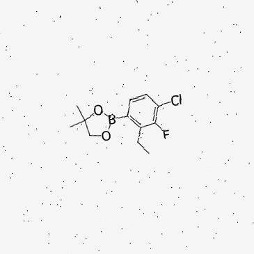 CCc1c(B2OCC(C)(C)O2)ccc(Cl)c1F